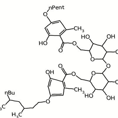 CCCCCOc1cc(C)c(C(=O)OCC2OC(OC3OC(COC(=O)c4c(C)cc(OCCC(C)CC(C)CCCC)cc4O)C(O)C(O)C3O)C(O)C(O)C2O)c(O)c1